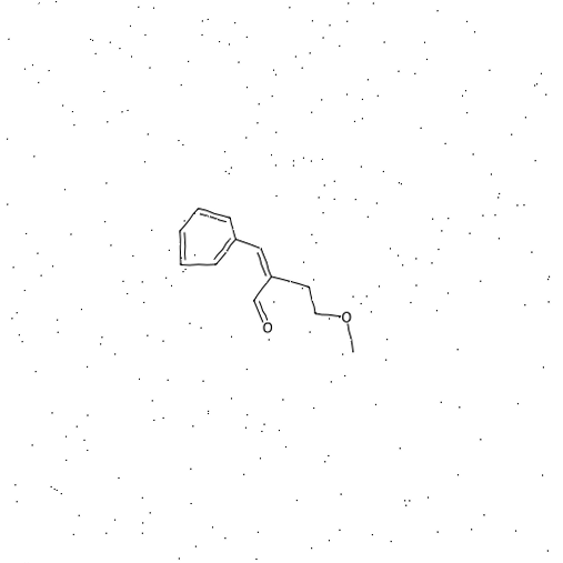 COCCC(C=O)=Cc1ccccc1